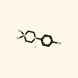 CC[N+]1(CC)CCN(c2ccc(C#N)cc2)CC1.[I-]